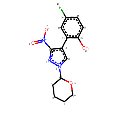 O=[N+]([O-])c1nn(C2CCCCO2)cc1-c1cc(F)ccc1O